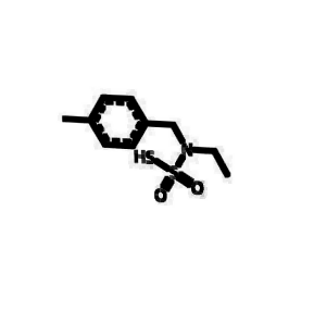 CCN(Cc1ccc(C)cc1)S(=O)(=O)S